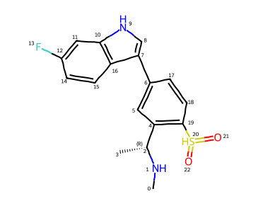 CN[C@H](C)c1cc(-c2c[nH]c3cc(F)ccc23)ccc1[SH](=O)=O